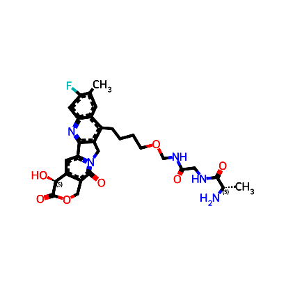 Cc1cc2c(CCCCOCNC(=O)CNC(=O)[C@H](C)N)c3c(nc2cc1F)-c1cc2c(c(=O)n1C3)COC(=O)[C@H]2O